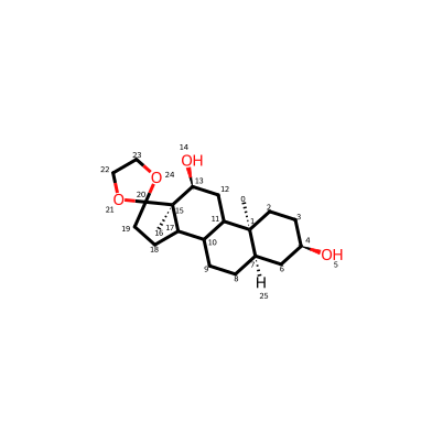 C[C@]12CC[C@@H](O)C[C@H]1CCC1C2C[C@H](O)[C@@]2(C)C1CCC21OCCO1